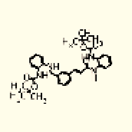 CC(C)(C)OC(=O)Nc1ccccc1NCc1cccc(C=CC(=O)Nc2ccccc2NC(=O)OC(C)(C)C)c1